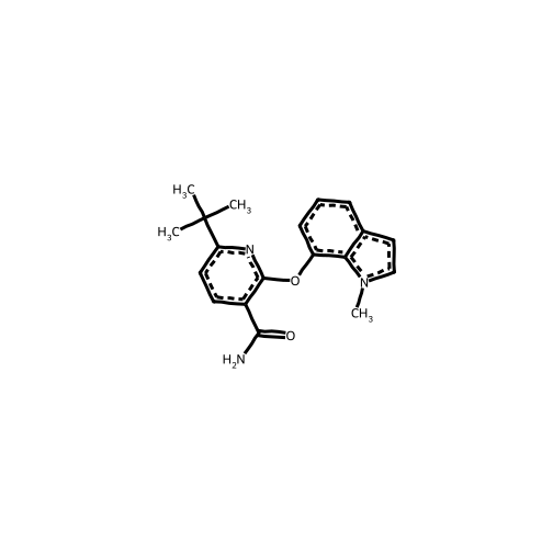 Cn1ccc2cccc(Oc3nc(C(C)(C)C)ccc3C(N)=O)c21